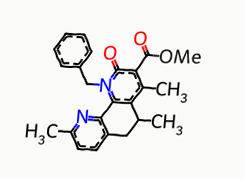 COC(=O)c1c(C)c2c(n(Cc3ccccc3)c1=O)-c1nc(C)ccc1CC2C